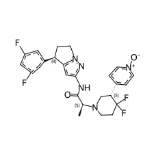 C[C@@H](C(=O)Nc1cc2n(n1)CC[C@@H]2c1cc(F)cc(F)c1)N1CCC(F)(F)[C@@H](c2cc[n+]([O-])cc2)C1